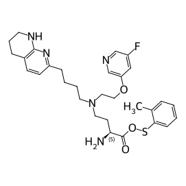 Cc1ccccc1SOC(=O)[C@@H](N)CCN(CCCCc1ccc2c(n1)NCCC2)CCOc1cncc(F)c1